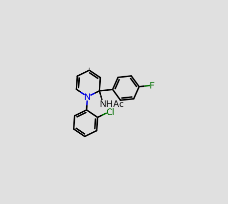 CC(=O)NC1(c2ccc(F)cc2)C=[C]C=CN1c1ccccc1Cl